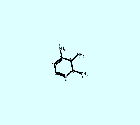 CC1N=CC=C(N)C1N